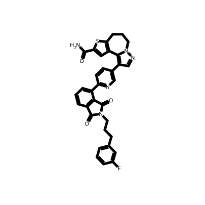 NC(=O)c1cc2c(s1)CCCn1ncc(-c3ccc(-c4cccc5c4C(=O)N(CCCc4cccc(F)c4)C5=O)nc3)c1-2